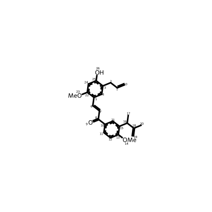 C=CCc1cc(/C=C/C(=O)c2ccc(OC)c(C(C)C(=C)C)c2)c(OC)cc1O